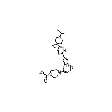 COC1(c2ccc(-c3cc4c(N5CCN(C(=O)C6CC6)CC5)ccnn4c3)nc2)CCN(C(C)C)CC1